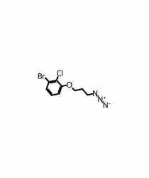 [N-]=[N+]=NCCCOc1cccc(Br)c1Cl